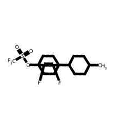 CC1CCC(C23CCC(OS(=O)(=O)C(F)(F)F)(CC2)C(F)=C3F)CC1